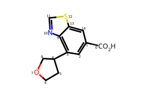 O=C(O)c1cc(C2CCOC2)c2ncsc2c1